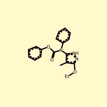 CCOc1n[nH]c(N(C(=O)Oc2ccccc2)c2ccccc2)c1C